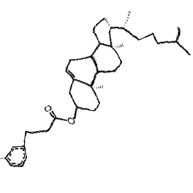 CC(C)CCC[C@@H](C)[C@H]1CCC2C3CC=C4CC(OC(=O)CCc5ccccc5)CC[C@]4(C)C3CC[C@@]21C